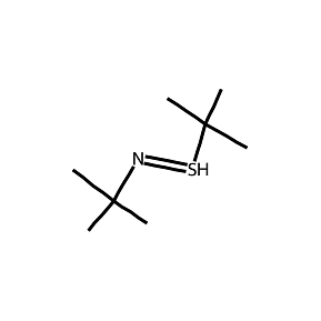 CC(C)(C)/N=[SH]/C(C)(C)C